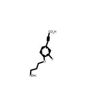 CCCCCCCCCCCCCOc1ccc(C#CC(=O)O)cc1F